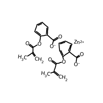 C=C(C)C(=O)Oc1ccccc1C(=O)[O-].C=C(C)C(=O)Oc1ccccc1C(=O)[O-].[Zn+2]